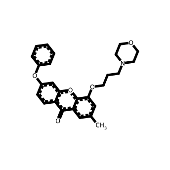 Cc1cc(OCCCN2CCOCC2)c2oc3cc(Oc4ccccc4)ccc3c(=O)c2c1